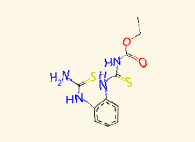 CCOC(=O)NC(=S)Nc1ccccc1NC(N)=S